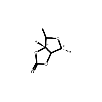 CC1O[C@H](C)C2OC(=O)O[C@H]12